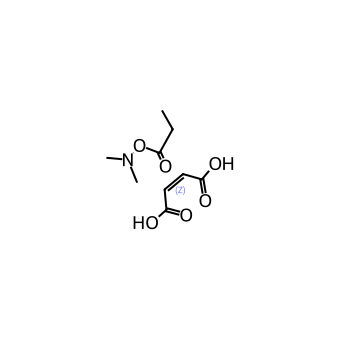 CCC(=O)ON(C)C.O=C(O)/C=C\C(=O)O